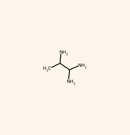 CC(N)C(N)N